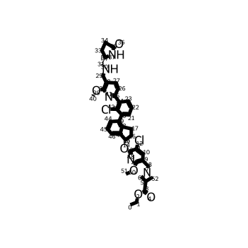 CCOC(=O)C1CN(Cc2cc(Cl)c(O[C@H]3CCc4c(-c5cccc(-c6ccc(CNC[C@@H]7CCC(=O)N7)c(OC)n6)c5Cl)cccc43)nc2OC)C1